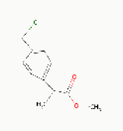 COC(=O)[C@H](C)c1ccc(CCl)cc1